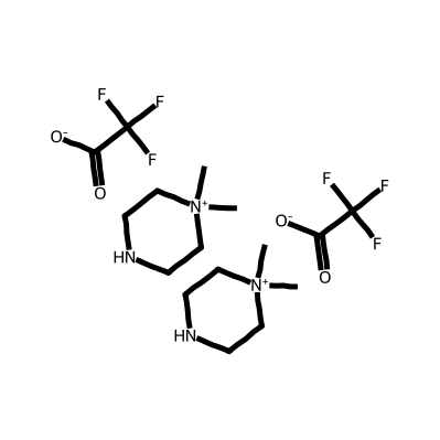 C[N+]1(C)CCNCC1.C[N+]1(C)CCNCC1.O=C([O-])C(F)(F)F.O=C([O-])C(F)(F)F